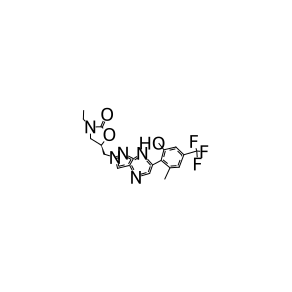 CCN1C[C@H](Cn2cc3ncc(-c4c(C)cc(C(F)(F)F)cc4O)nc3n2)OC1=O